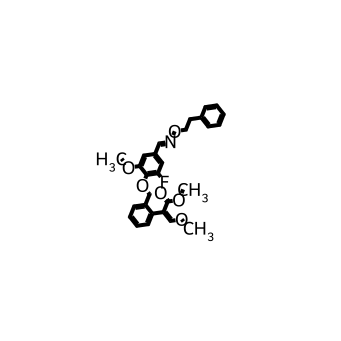 COC=C(C(=O)OC)c1ccccc1COc1c(F)cc(C=NOCCc2ccccc2)cc1OC